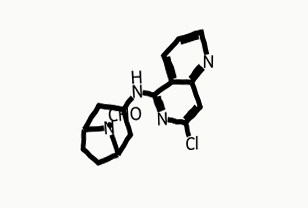 O=CN1C2CCC1CC(Nc1nc(Cl)cc3ncccc13)C2